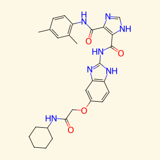 Cc1ccc(NC(=O)c2nc[nH]c2C(=O)Nc2nc3cc(OCC(=O)NC4CCCCC4)ccc3[nH]2)c(C)c1